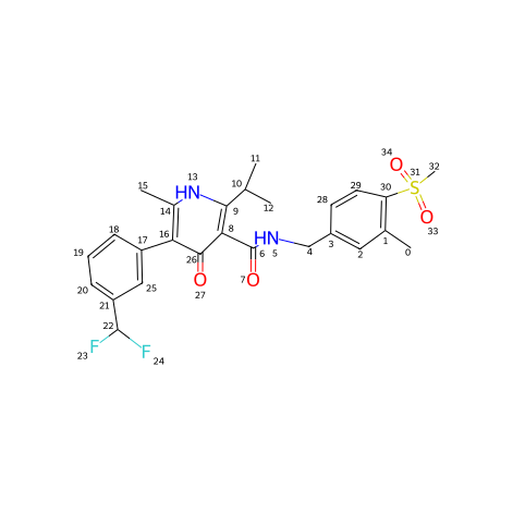 Cc1cc(CNC(=O)c2c(C(C)C)[nH]c(C)c(-c3cccc(C(F)F)c3)c2=O)ccc1S(C)(=O)=O